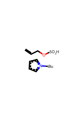 C=CCOS(=O)(=O)O.CCC(C)n1cccc1